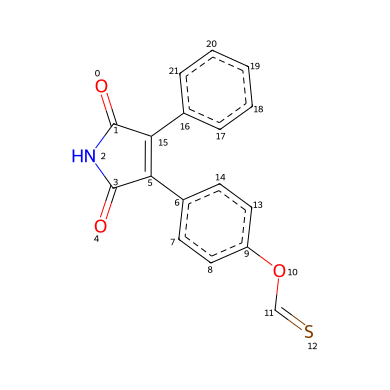 O=C1NC(=O)C(c2ccc(OC=S)cc2)=C1c1ccccc1